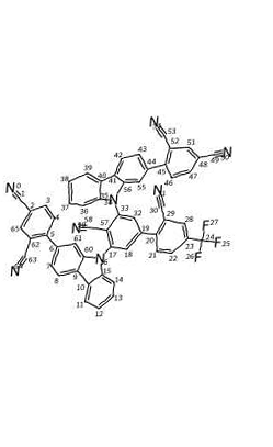 N#Cc1ccc(-c2ccc3c4ccccc4n(-c4cc(-c5ccc(C(F)(F)F)cc5C#N)cc(-n5c6ccccc6c6ccc(-c7ccc(C#N)cc7C#N)cc65)c4C#N)c3c2)c(C#N)c1